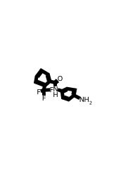 Nc1ccc(NC(=O)c2ccccc2C(F)(F)F)cc1